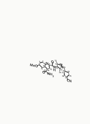 COc1ccc2nc(C(=O)Nc3c(C)nn(Cc4ccc(C#N)cc4)c3C)cc(C(N)=O)c2c1